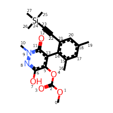 COC(=O)Oc1c(O)nn(C)c(=O)c1-c1c(C)cc(C)cc1C#C[Si](C)(C)C